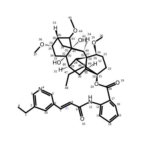 CCc1cncc(/C=C/C(=O)Nc2ccccc2C(=O)O[C@@]23CC[C@H](OC)[C@]45C([C@@H](C[C@H]24)[C@@]2(O)C[C@H](OC)[C@H]4C[C@@H]5[C@]2(O)C4OC)N(CC)C3)c1